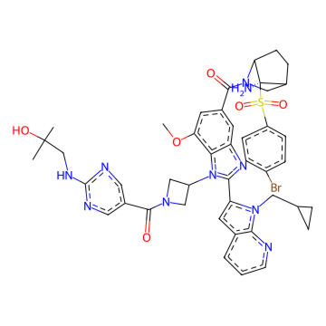 COc1cc(C(=O)N2CC3CCC2[C@]3(N)S(=O)(=O)c2ccc(Br)cc2)cc2nc(-c3cc4cccnc4n3CC3CC3)n(C3CN(C(=O)c4cnc(NCC(C)(C)O)nc4)C3)c12